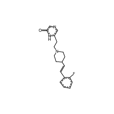 O=c1cncc(CCN2CCC(C=Cc3ccccc3F)CC2)[nH]1